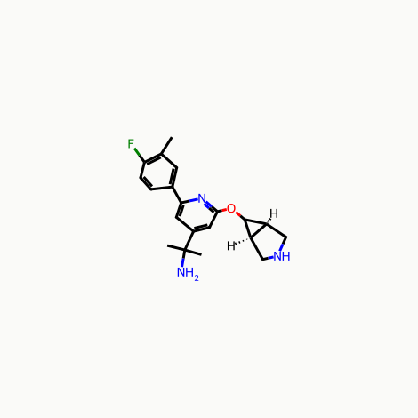 Cc1cc(-c2cc(C(C)(C)N)cc(OC3[C@H]4CNC[C@@H]34)n2)ccc1F